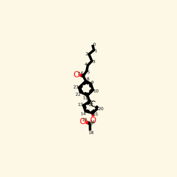 CCCCCCC(=O)c1ccc(-c2ccc(OC(C)=O)cc2)cc1